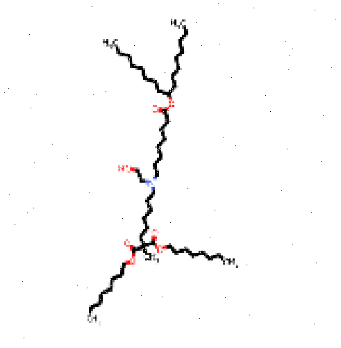 CCCCCCCCOC(=O)C(C)(CCCCCCN(CCO)CCCCCCCC(=O)OC(CCCCCCCC)CCCCCCCC)C(=O)OCCCCCCCC